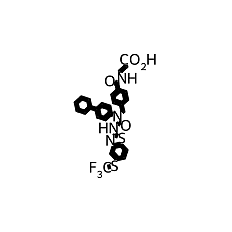 O=C(O)CCNC(=O)c1ccc(CN(C(=O)Nc2nc3cc(SC(F)(F)F)ccc3s2)c2ccc(C3CCCCC3)cc2)cc1